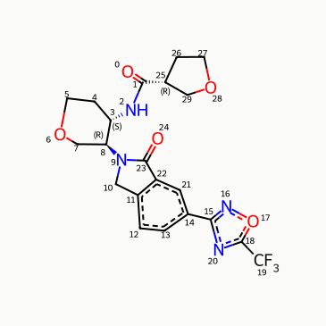 O=C(N[C@H]1CCOC[C@@H]1N1Cc2ccc(-c3noc(C(F)(F)F)n3)cc2C1=O)[C@@H]1CCOC1